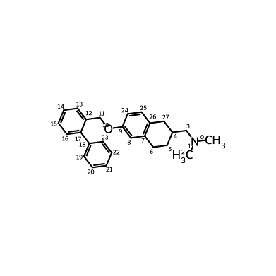 CN(C)CC1CCc2cc(OCc3ccccc3-c3ccccc3)ccc2C1